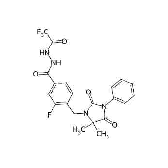 CC1(C)C(=O)N(c2ccccc2)C(=O)N1Cc1ccc(C(=O)NNC(=O)C(F)(F)F)cc1F